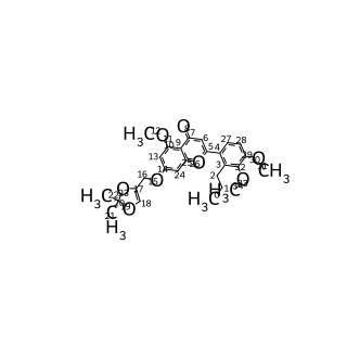 CCCc1c(-c2cc(=O)c3c(OC)cc(OCC4=COC(C)(C)O4)cc3o2)ccc(OC)c1OC